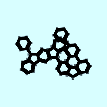 c1ccc(-c2ccc3c(c2)c2c(-n4c5ccccc5c5cc6c(cc54)c4ccccc4n6-c4ccccc4)ccc4oc5cccc3c5c42)cc1